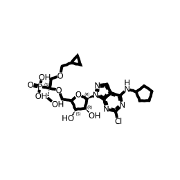 O=P(O)(O)[C@@](CO)(COCC1CC1)OCC1O[C@@H](n2ncc3c(NC4CCCC4)nc(Cl)nc32)[C@H](O)[C@@H]1O